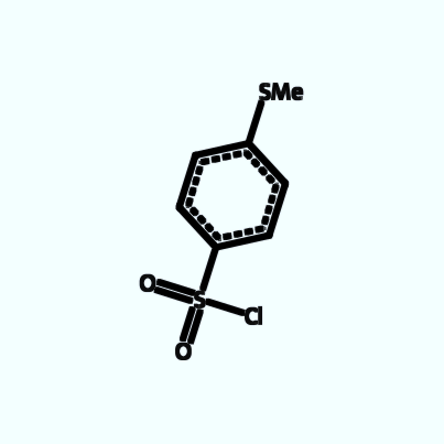 CSc1ccc(S(=O)(=O)Cl)cc1